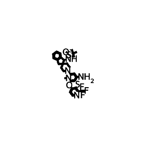 Cn1c(N2CCC3(CC2)Cc2ccccc2[C@H]3N[S+]([O-])C(C)(C)C)cc(N)c(Sc2cccnc2C(F)(F)F)c1=O